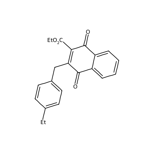 CCOC(=O)C1=C(Cc2ccc(CC)cc2)C(=O)c2ccccc2C1=O